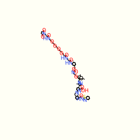 Cc1c(-c2ccc(N3CCc4cccc(C(=O)Nc5nc6ccccc6s5)c4C3)nc2C(=O)O)cnn1CC12CC3(C)CC(C)(C1)CC(OCCN(C)C(=O)OCc1cc[c]c(NC(=O)CCNC(=O)CCOCCOCCOCCOCCNC(=O)CCN4C(=O)C=CC4=O)c1)(C3)C2